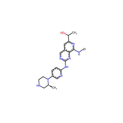 CC(C)Nc1nc(C(C)O)cc2cnc(Nc3ccc(N4CCNC[C@@H]4C)cn3)nc12